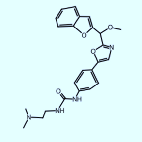 COC(c1cc2ccccc2o1)c1ncc(-c2ccc(NC(=O)NCCN(C)C)cc2)o1